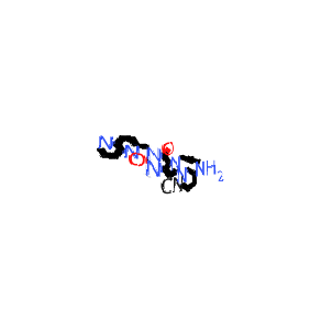 CC#CCn1c(N2CCC[C@@H](N)C2)c(C#N)c2c1c(=O)n(Cc1ccc3ncccc3n1)c(=O)n2C